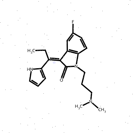 CC/C(=C1/C(=O)N(CCCN(C)C)c2ccc(F)cc21)c1ccc[nH]1